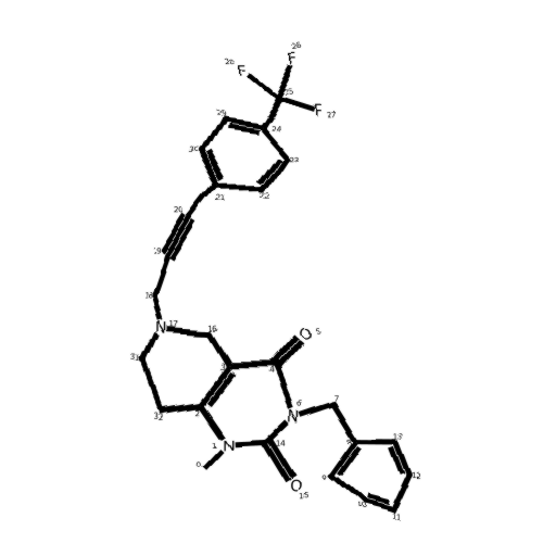 Cn1c2c(c(=O)n(Cc3ccccc3)c1=O)CN(CC#Cc1ccc(C(F)(F)F)cc1)CC2